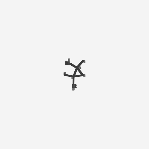 CCC1(C)CC1(C)CC